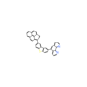 c1cnc2c(c1)cc(-c1ccc3sc4ccc(-c5ccc6ccc7cccc8ccc5c6c78)cc4c3c1)c1cccnc12